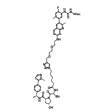 CCCCCCNC(=O)Nc1cc(-c2cc3cnc(NCCOCCOCc4cn(CCCCCC(=O)NC(C(=O)N5C[C@H](O)C[C@H]5C(=O)N[C@@H](C)c5ccc(-c6scnc6C)cc5)C(C)(C)C)nn4)nc3nc2C)c(C)cc1F